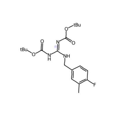 Cc1cc(CN/C(=N\C(=O)OC(C)(C)C)NC(=O)OC(C)(C)C)ccc1F